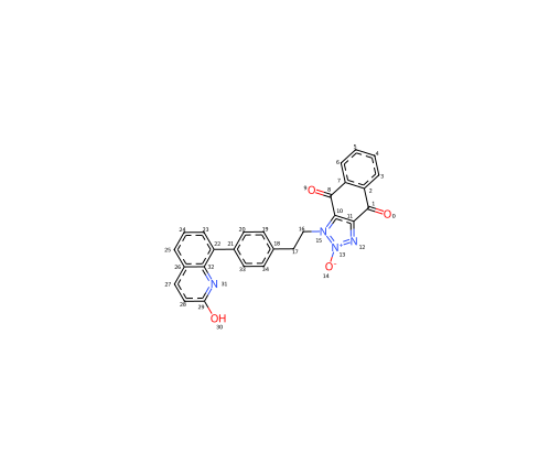 O=C1c2ccccc2C(=O)c2c1n[n+]([O-])n2CCc1ccc(-c2cccc3ccc(O)nc23)cc1